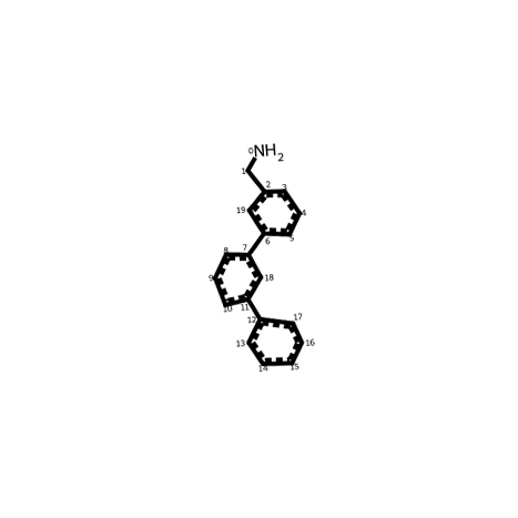 NCc1cccc(-c2cccc(-c3ccccc3)c2)c1